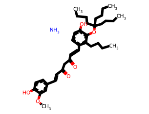 CCCCc1c(/C=C/C(=O)CC(=O)/C=C/c2ccc(O)c(OC)c2)ccc(O)c1OC(CCCC)(CCCC)CCCC.N